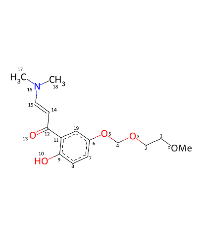 COCCOCOc1ccc(O)c(C(=O)/C=C/N(C)C)c1